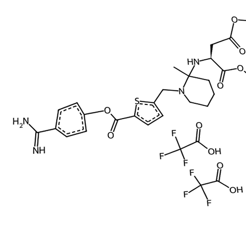 COC(=O)C[C@H](NC1(C)CCCCN1Cc1ccc(C(=O)Oc2ccc(C(=N)N)cc2)s1)C(=O)OC.O=C(O)C(F)(F)F.O=C(O)C(F)(F)F